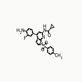 Cc1ccc(S(=O)(=O)n2ccc3c(-c4ccc(N)c(F)c4)cc(NC(=O)C4CC4)nc32)cc1